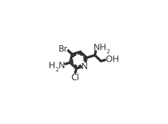 Nc1c(Br)cc(C(N)CO)nc1Cl